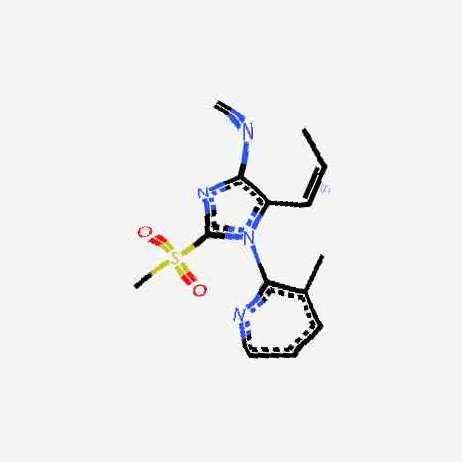 C=Nc1nc(S(C)(=O)=O)n(-c2ncccc2C)c1/C=C\C